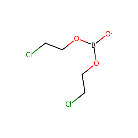 [O]B(OCCCl)OCCCl